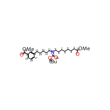 COC(=O)CCCCCCCN(CCCCCc1cccc(C(=O)OC)c1)C(=O)OC(C)(C)C